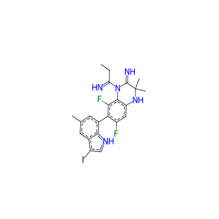 CCC(=N)N1C(=N)C(C)(C)Nc2cc(F)c(-c3cc(C)cc4c(I)c[nH]c34)c(F)c21